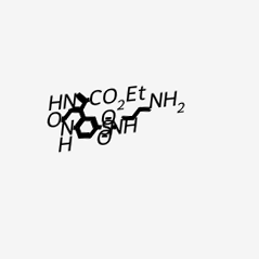 CCOC(=O)c1c[nH]c2c(=O)[nH]c3ccc(S(=O)(=O)NCCCCN)cc3c12